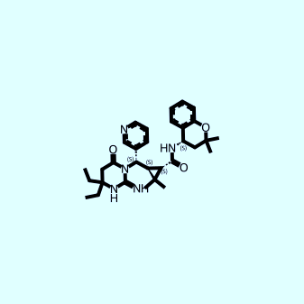 CCC1(CC)CC(=O)N([C@H](c2cccnc2)[C@H]2[C@H](C(=O)N[C@H]3CC(C)(C)Oc4ccccc43)C2(C)C)C(=N)N1